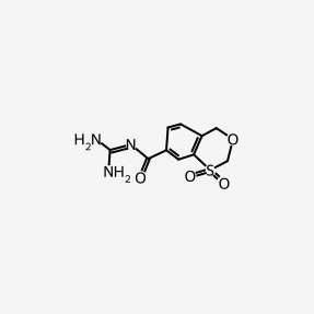 NC(N)=NC(=O)c1ccc2c(c1)S(=O)(=O)COC2